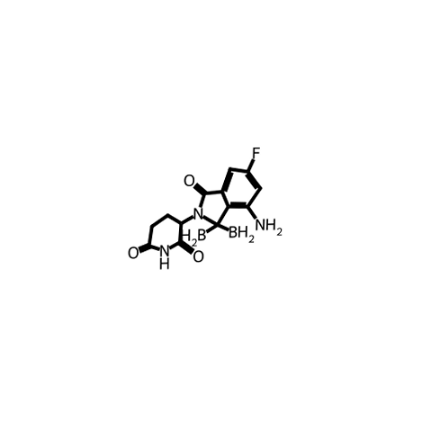 BC1(B)c2c(N)cc(F)cc2C(=O)N1C1CCC(=O)NC1=O